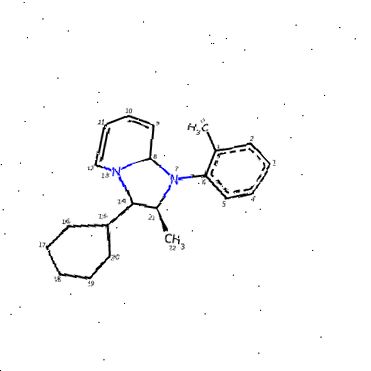 Cc1ccccc1N1C2C=CC=CN2C(C2CCCCC2)[C@@H]1C